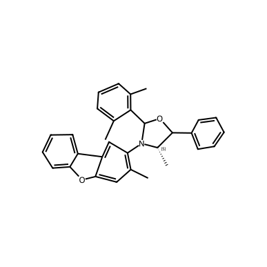 Cc1cc2oc3ccccc3c2cc1N1C(c2c(C)cccc2C)OC(c2ccccc2)[C@@H]1C